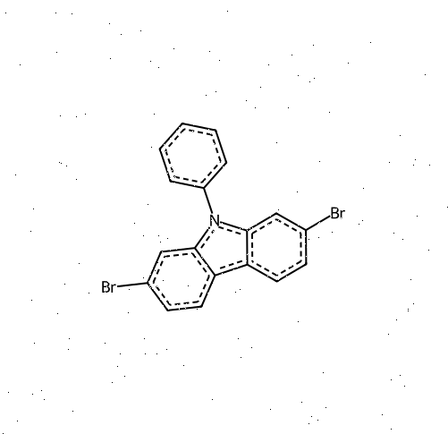 Brc1ccc2c3ccc(Br)cc3n(-c3ccccc3)c2c1